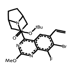 C=Cc1cc2c(N3CC4CCC(C3)N4C(=O)OC(C)(C)C)nc(OC)nc2c(F)c1Br